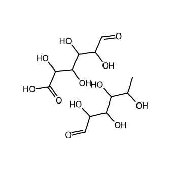 CC(O)C(O)C(O)C(O)C=O.O=CC(O)C(O)C(O)C(O)C(=O)O